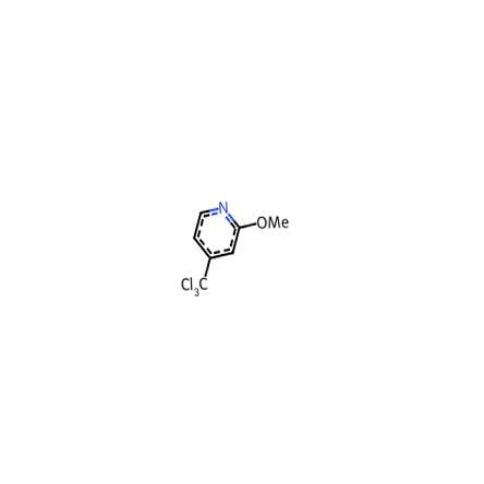 COc1cc(C(Cl)(Cl)Cl)ccn1